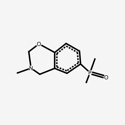 CN1COc2ccc(P(C)(C)=O)cc2C1